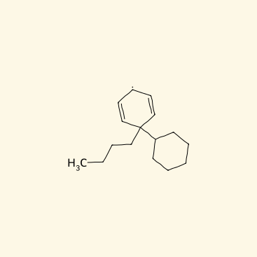 CCCCC1(C2CCCCC2)C=C[CH]C=C1